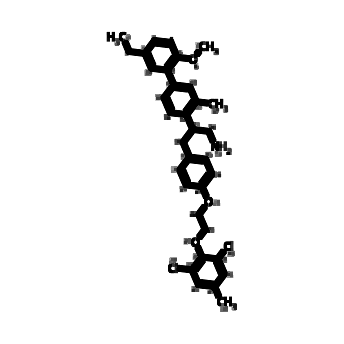 CCc1ccc(OC)c(-c2ccc(C(CN)Cc3ccc(OCCOc4c(Cl)cc(C)cc4Cl)cc3)c(C)c2)c1